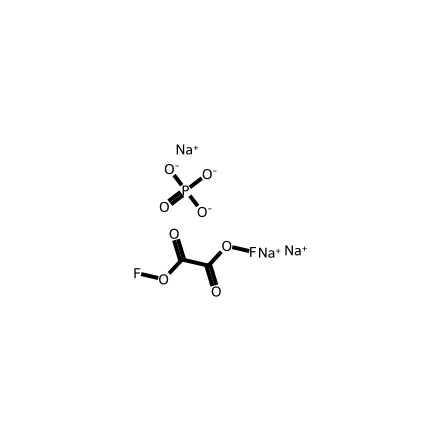 O=C(OF)C(=O)OF.O=P([O-])([O-])[O-].[Na+].[Na+].[Na+]